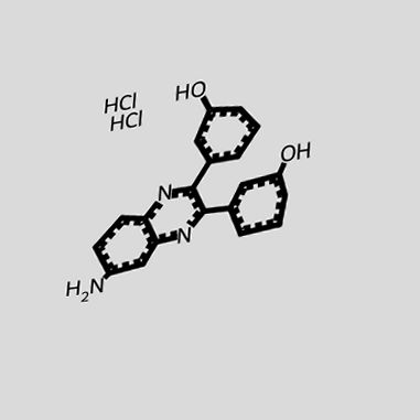 Cl.Cl.Nc1ccc2nc(-c3cccc(O)c3)c(-c3cccc(O)c3)nc2c1